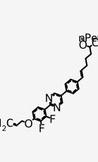 C=CCOc1ccc(-c2ncc(-c3ccc(/C=C/CCCC(C)OCCCCC)cc3)cn2)c(F)c1F